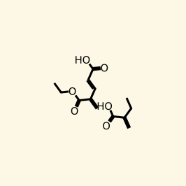 C=C(C=CC(=O)O)C(=O)OCC.C=C(CC)C(=O)O